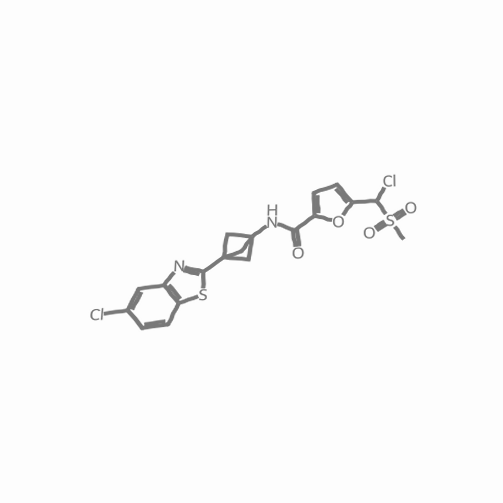 CS(=O)(=O)C(Cl)c1ccc(C(=O)NC23CC(c4nc5cc(Cl)ccc5s4)(C2)C3)o1